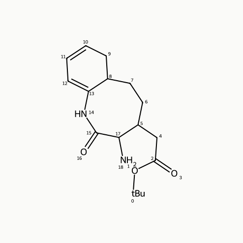 CC(C)(C)OC(=O)CC1CCC2CC=CC=C2NC(=O)C1N